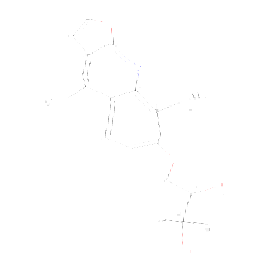 COc1c2ccoc2nc2c(OC)c(OCC(O)C(C)(C)O)ccc12